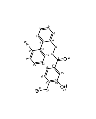 O=C(CCc1ccccc1-c1ccccc1F)c1ccc(CBr)c(O)c1